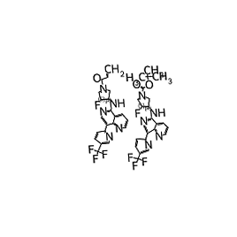 C=CC(=O)N1C[C@H](F)[C@H](Nc2ncc(-c3ccc(C(F)(F)F)cn3)c3ncccc23)C1.CC(C)(C)OC(=O)N1C[C@H](F)[C@H](Nc2ncc(-c3ccc(C(F)(F)F)cn3)c3ncccc23)C1